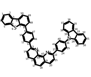 c1ccc2c(c1)sc1c(-c3ccc(-c4ccc5ccc6ccc(-c7ccc(-n8c9ccccc9c9ccccc98)cc7)nc6c5n4)cc3)cccc12